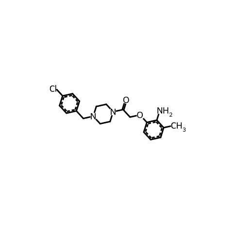 Cc1cccc(OCC(=O)N2CCN(Cc3ccc(Cl)cc3)CC2)c1N